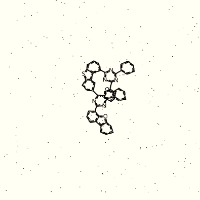 c1ccc(-c2nc(-c3ccccc3)nc(-c3cccc4sc5ccc(-c6nc(-c7cccc8c7oc7ccccc78)nc7c6oc6ccccc67)cc5c34)n2)cc1